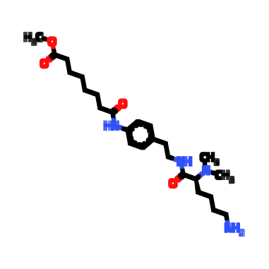 COC(=O)CCCCCCC(=O)Nc1ccc(CCNC(=O)[C@H](CCCCN)N(C)C)cc1